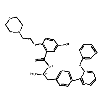 O=C(N[C@@H](Cc1ccc(-c2ccccc2Oc2ccccc2)cc1)C(=O)O)c1cc(Br)ccc1OCCN1CCOCC1